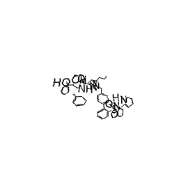 CCCc1cc(C(=O)N[C@H](Cc2ccccc2)[C@@H](O)C(=O)O)nn1Cc1ccc(-c2ccccc2S(=O)(=O)NC(=O)c2ccccn2)cc1